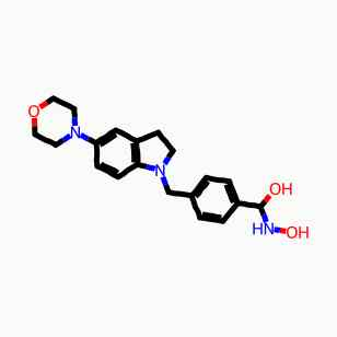 ONC(O)c1ccc(CN2CCc3cc(N4CCOCC4)ccc32)cc1